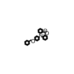 O=S1(=O)c2ccccc2N(c2ccc(OCc3ccccc3)cc2)c2ccccc21